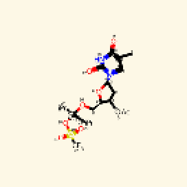 CC(=O)OC1C[C@H](n2cc(C)c(=O)[nH]c2=O)O[C@@H]1CO[Si](OS(=O)(=O)C(F)(F)F)(C(C)C)C(C)C